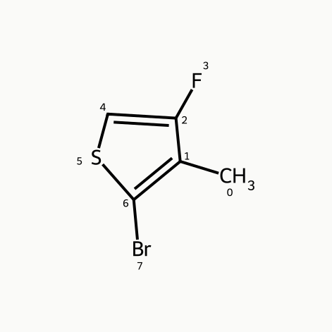 Cc1c(F)csc1Br